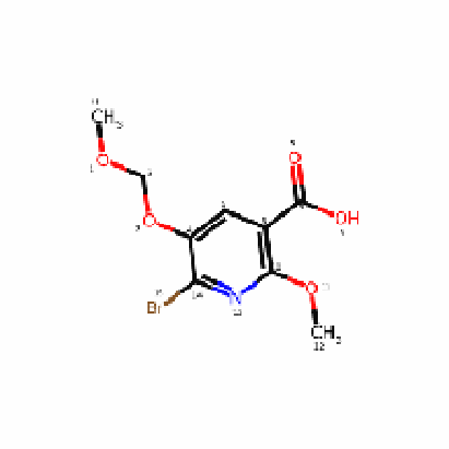 COCOc1cc(C(=O)O)c(OC)nc1Br